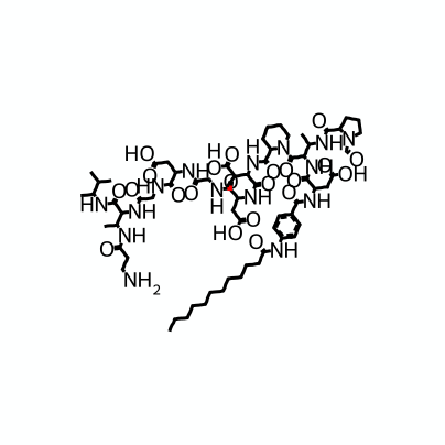 CCCCCCCCCCCC(=O)Nc1ccc(C(=O)NC(CC(=O)O)C(=O)NC(C(=O)N2CCCCC2C(=O)NC(C(=O)NC(CC(=O)O)C(=O)NCC(=O)NC(CC(=O)O)C(=O)NCC(=O)NC(C(=O)NC(C)C(C)C)C(C)NC(=O)CCN)C(C)C(=O)O)C(C)NC(=O)C2CCCN2C=O)cc1